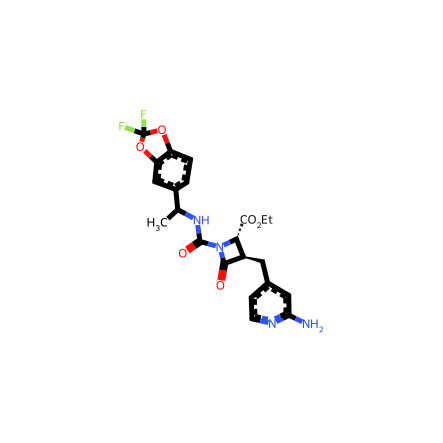 CCOC(=O)[C@@H]1[C@@H](Cc2ccnc(N)c2)C(=O)N1C(=O)NC(C)c1ccc2c(c1)OC(F)(F)O2